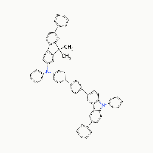 CC1(C)c2cc(-c3ccccc3)ccc2-c2ccc(N(c3ccccc3)c3ccc(-c4ccc(-c5ccc6c(c5)c5cc(-c7ccccc7)ccc5n6-c5ccccc5)cc4)cc3)cc21